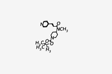 CN(C(=O)/C=C/c1ccncc1)C1CCN(C(=O)OC(C)(C)C)CC1